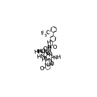 N=C1N[C@H]2[C@H](CN3C(=O)CCC3=O)NC(=N)N3CC(NC(=O)c4ccc(-c5ccccc5C(F)(F)F)cc4)C(O)(O)[C@]23N1